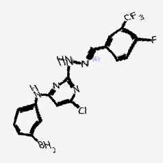 Bc1cccc(Nc2cc(Cl)nc(N/N=C/c3ccc(F)c(C(F)(F)F)c3)n2)c1